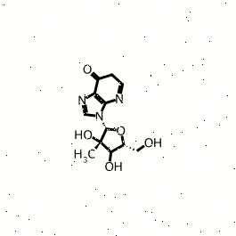 C[C@]1(O)C(O)[C@@H](CO)O[C@H]1n1cnc2c1N=CCC2=O